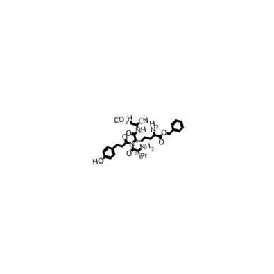 CC(C)[C@H](N)C(=O)N(C(=O)CCc1ccc(O)cc1)[C@@H](CCCC(N)C(=O)OCc1ccccc1)C(=O)NC(C#N)CC(=O)O